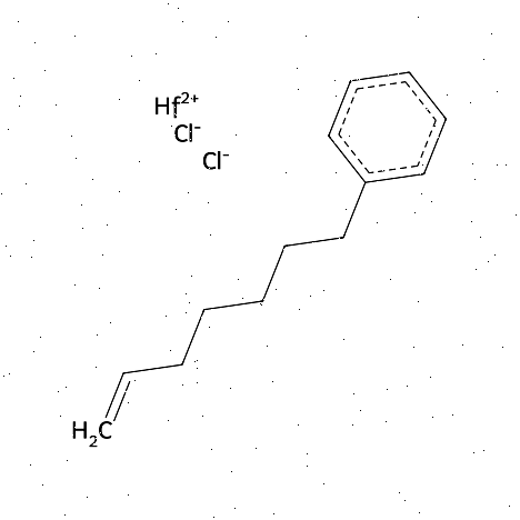 C=CCCCCCc1ccccc1.[Cl-].[Cl-].[Hf+2]